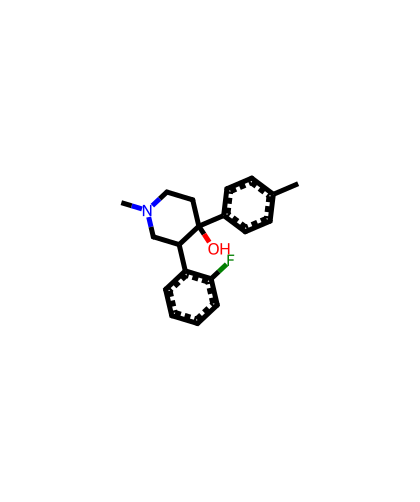 Cc1ccc(C2(O)CCN(C)CC2c2ccccc2F)cc1